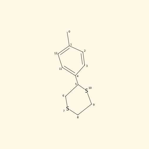 Cc1ccc(C2CSCCS2)cc1